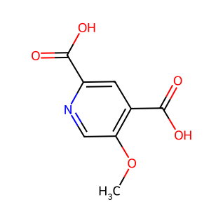 COc1cnc(C(=O)O)cc1C(=O)O